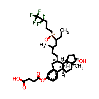 CCC(CC(C)CC[C@@H]1Cc2cc(OC(=O)CCC(=O)O)ccc2[C@H]2CC[C@]3(C)[C@@H](O)CC[C@H]3[C@H]12)[S+]([O-])CCCC(F)(F)C(F)(F)F